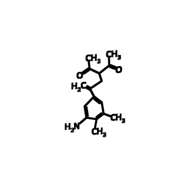 C=C(CC(C(C)=O)C(C)=O)c1cc(C)c(C)c(N)c1